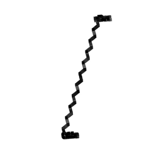 CCCCCCCCCCCCCCCCCCCCCCCCCCCCCCOC